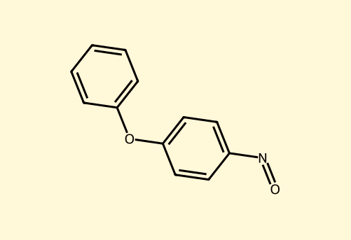 O=Nc1ccc(Oc2ccccc2)cc1